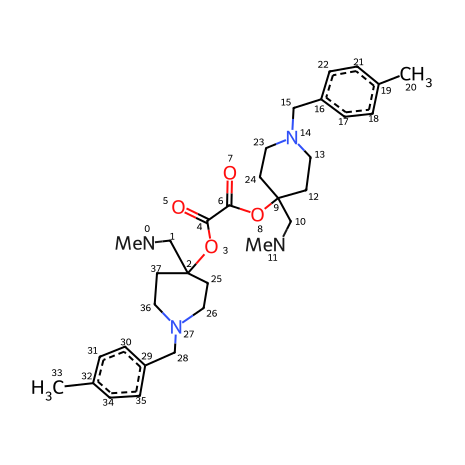 CNCC1(OC(=O)C(=O)OC2(CNC)CCN(Cc3ccc(C)cc3)CC2)CCN(Cc2ccc(C)cc2)CC1